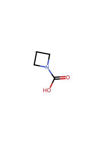 O=C(O)N1C[CH]C1